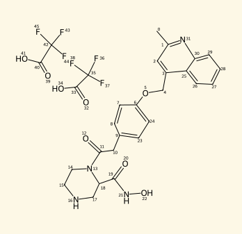 Cc1cc(COc2ccc(CC(=O)N3CCNCC3C(=O)NO)cc2)c2ccccc2n1.O=C(O)C(F)(F)F.O=C(O)C(F)(F)F